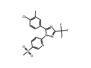 Cc1cc(-c2nc(C(F)(F)F)nn2-c2ccc(S(C)(=O)=O)cn2)ccc1Cl